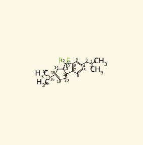 CC(C)Cc1ccc2c(c1)C(F)(F)c1cc(C(C)C)ccc1-2